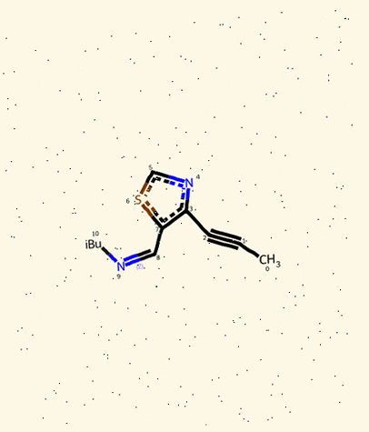 CC#Cc1ncsc1/C=N\C(C)CC